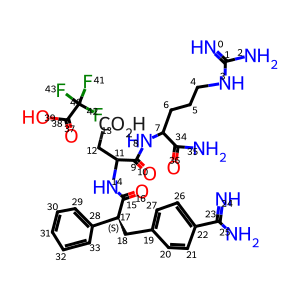 N=C(N)NCCCC(NC(=O)C(CC(=O)O)NC(=O)[C@@H](Cc1ccc(C(=N)N)cc1)c1ccccc1)C(N)=O.O=C(O)C(F)(F)F